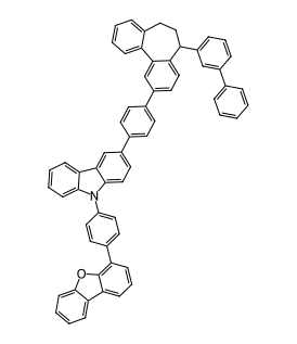 c1ccc(-c2cccc(C3CCc4ccccc4-c4cc(-c5ccc(-c6ccc7c(c6)c6ccccc6n7-c6ccc(-c7cccc8c7oc7ccccc78)cc6)cc5)ccc43)c2)cc1